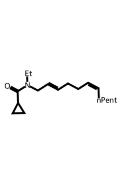 CCCCC/C=C\CC/C=C/CN(CC)C(=O)C1CC1